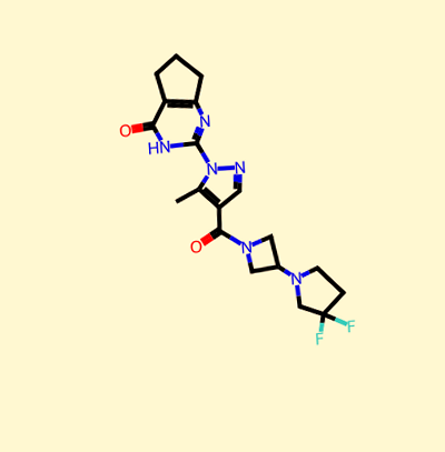 Cc1c(C(=O)N2CC(N3CCC(F)(F)C3)C2)cnn1-c1nc2c(c(=O)[nH]1)CCC2